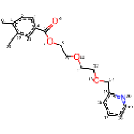 Cc1ccc(C(=O)OCCOCCOCc2ccccn2)cc1C